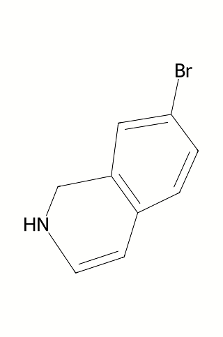 Brc1ccc2c(c1)CNC=C2